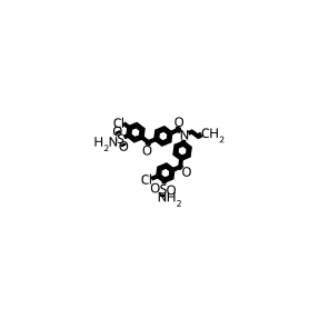 C=CCN(C(=O)c1ccc(C(=O)c2ccc(Cl)c(S(N)(=O)=O)c2)cc1)c1ccc(C(=O)c2ccc(Cl)c(S(N)(=O)=O)c2)cc1